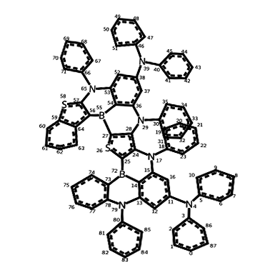 c1ccc(N(c2ccccc2)c2cc3c4c(c2)N(c2ccccc2)c2c(sc5c2N(c2ccccc2)c2cc(N(c6ccccc6)c6ccccc6)cc6c2B5c2c(sc5ccccc25)N6c2ccccc2)B4c2ccccc2N3c2ccccc2)cc1